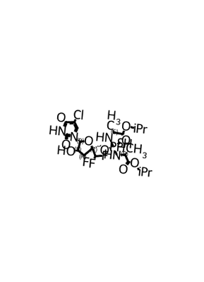 CC(C)OC(=O)[C@H](C)N[PH](S)(N[C@@H](C)C(=O)OC(C)C)OC[C@@]1(C(F)F)O[C@@H](n2cc(Cl)c(=O)[nH]c2=O)[C@H](O)[C@H]1F